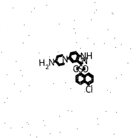 NC1CCN(c2ccc3[nH]nc(S(=O)(=O)c4cccc5c(Cl)cccc45)c3c2)CC1